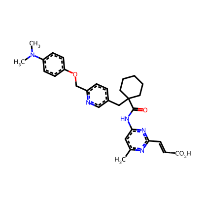 Cc1cc(NC(=O)C2(Cc3ccc(COc4ccc(N(C)C)cc4)nc3)CCCCC2)nc(/C=C/C(=O)O)n1